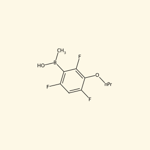 CCCOc1c(F)cc(F)c(B(C)O)c1F